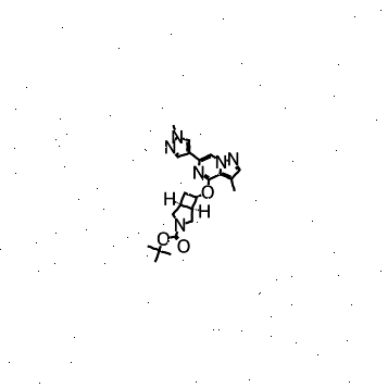 Cc1cnn2cc(-c3cnn(C)c3)nc(O[C@@H]3C[C@@H]4CN(C(=O)OC(C)(C)C)C[C@@H]43)c12